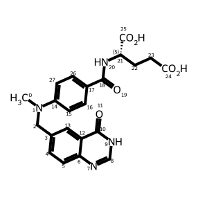 CN(Cc1ccc2nc[nH]c(=O)c2c1)c1ccc(C(=O)N[C@@H](CCC(=O)O)C(=O)O)cc1